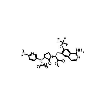 COC(=O)[C@@H](Cc1cc2ccnc(N)c2cc1OC(F)(F)F)N1CC[C@H](N(c2ccc(N(C)C)nc2)[SH](=O)=O)C1=O